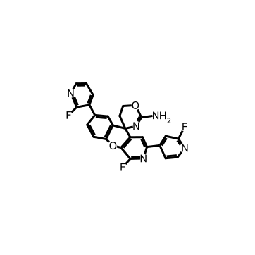 NC1=NC2(CCO1)c1cc(-c3cccnc3F)ccc1Oc1c2cc(-c2ccnc(F)c2)nc1F